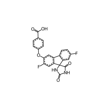 O=C1NC(=O)C2(N1)c1cc(F)ccc1-c1cc(Oc3ccc(C(=O)O)cc3)c(F)cc12